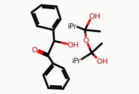 CC(C)C(C)(O)OC(C)(O)C(C)C.O=C(c1ccccc1)C(O)c1ccccc1